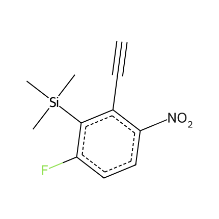 C#Cc1c([N+](=O)[O-])ccc(F)c1[Si](C)(C)C